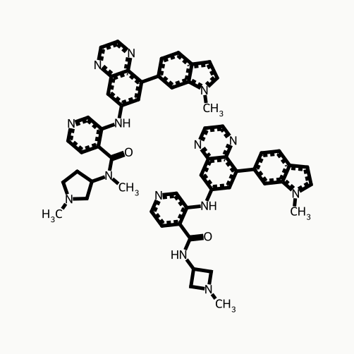 CN1CC(NC(=O)c2ccncc2Nc2cc(-c3ccc4ccn(C)c4c3)c3nccnc3c2)C1.CN1CCC(N(C)C(=O)c2ccncc2Nc2cc(-c3ccc4ccn(C)c4c3)c3nccnc3c2)C1